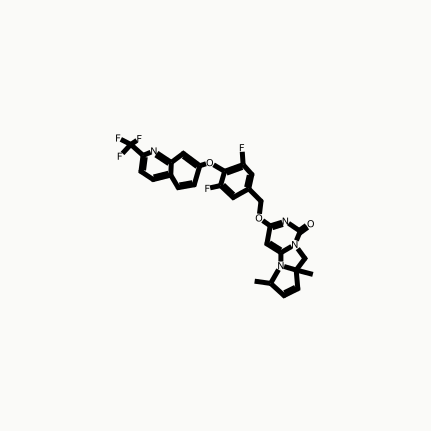 CC1C=CC2(C)Cn3c(cc(OCc4cc(F)c(Oc5ccc6ccc(C(F)(F)F)nc6c5)c(F)c4)nc3=O)N12